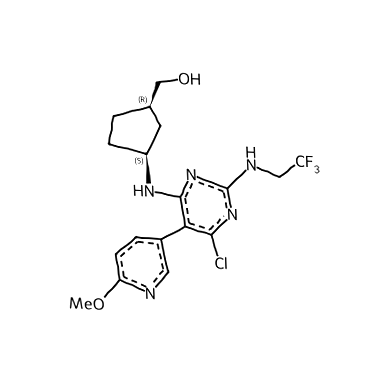 COc1ccc(-c2c(Cl)nc(NCC(F)(F)F)nc2N[C@H]2CC[C@@H](CO)C2)cn1